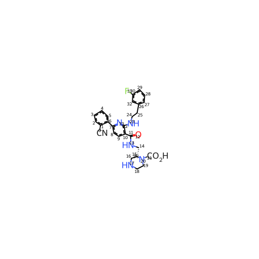 N#Cc1ccccc1-c1ccc(C(=O)NC[C@H]2CNCCN2C(=O)O)c(NCCc2cccc(F)c2)n1